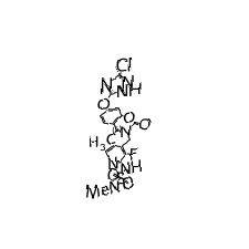 CNS(=O)(=O)Nc1nccc(CN2C(=O)Oc3cc(Oc4nc(Cl)n[nH]4)ccc3[C@@H]2C)c1F